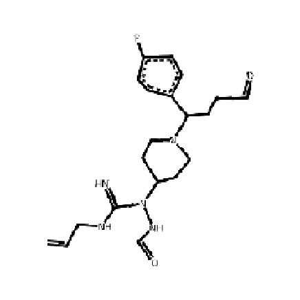 C=CCNC(=N)N(NC=O)C1CCN(C(CCC=O)c2ccc(F)cc2)CC1